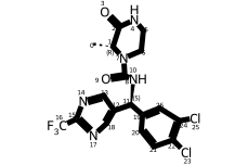 C[C@@H]1C(=O)NCCN1C(=O)N[C@H](c1cnc(C(F)(F)F)nc1)c1ccc(Cl)c(Cl)c1